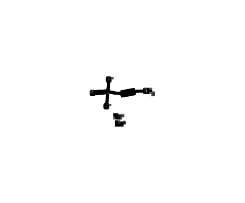 CC#CP(=O)([O-])[O-].[Na+].[Na+]